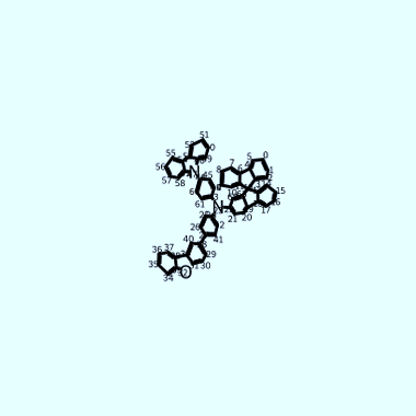 c1ccc2c(c1)-c1ccccc1C21c2ccccc2-c2ccc(N(c3ccc(-c4ccc5oc6ccccc6c5c4)cc3)c3ccc(-n4c5ccccc5c5ccccc54)cc3)cc21